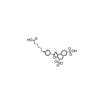 O=C(O)CCCCC[n+]1ccc(-c2nc3c(o2)c(S(=O)(=O)[O-])cc2cc(S(=O)(=O)O)ccc23)cc1